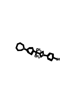 CC(C)(c1ccc(N2CCCCCC2)cc1)C1CN(c2ccc(S)cc2)C1